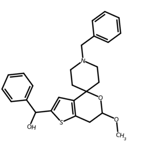 COC1Cc2sc(C(O)c3ccccc3)cc2C2(CCN(Cc3ccccc3)CC2)O1